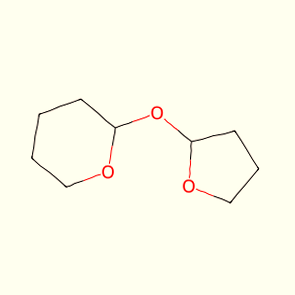 C1CCC(OC2CCCO2)OC1